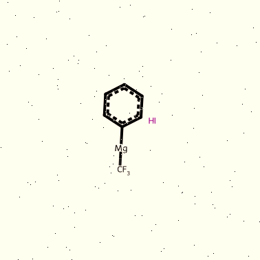 F[C](F)(F)[Mg][c]1ccccc1.I